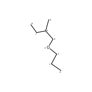 CCCOCC(C)CC